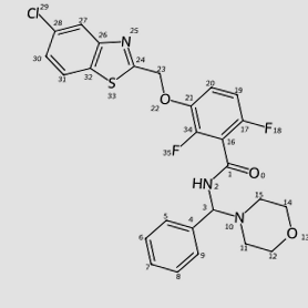 O=C(NC(c1ccccc1)N1CCOCC1)c1c(F)ccc(OCc2nc3cc(Cl)ccc3s2)c1F